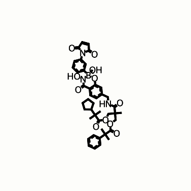 CC(COC(=O)C(C)(C)c1ccccc1)(COC(=O)C(C)(C)C1CCCC1)C(=O)NCc1ccc2c(c1)O[B-](O)(c1cccc(N3C(=O)C=CC3=O)c1)N(O)C2=O